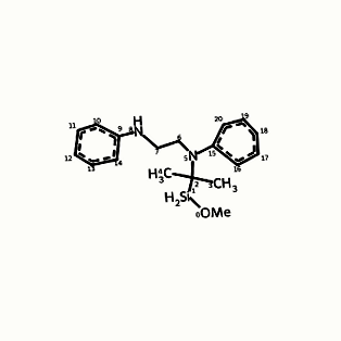 CO[SiH2]C(C)(C)N(CCNc1ccccc1)c1ccccc1